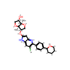 O[C@@H]1CO[C@H]2[C@@H]1OC[C@H]2Oc1cc2nc(-c3ccc(C4CCCCO4)cc3)c(F)cc2[nH]1